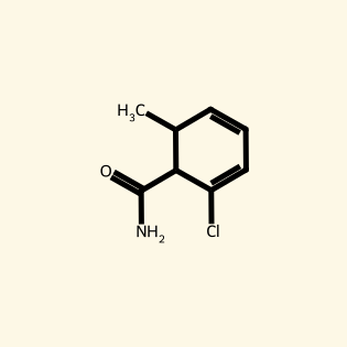 CC1C=CC=C(Cl)C1C(N)=O